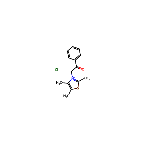 Cc1sc(C)[n+](CC(=O)c2ccccc2)c1C.[Cl-]